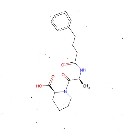 C[C@H](NC(=O)CCCc1ccccc1)C(=O)N1CCCC[C@H]1C(=O)O